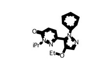 CCOc1cnn(-c2ccccc2)c1-c1ccc(=O)n(C(C)C)n1